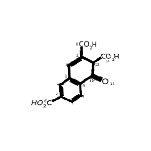 O=C(O)C1=Cc2cc(C(=O)O)ccc2C(=O)C1C(=O)O